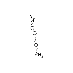 CCCCCc1ccc(CCCC[C@H]2CC[C@H](C3CCC(/C=C/C=C(\F)C#N)CC3)CC2)cc1